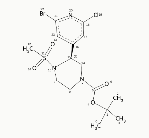 CC(C)(C)OC(=O)N1CCN(S(C)(=O)=O)[C@@H](c2cc(Cl)nc(Br)c2)C1